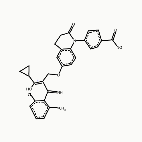 Cc1cccc(Cl)c1C(=N)/C(COc1ccc2c(c1)CCC(=O)N2c1ccc(C(=O)N=O)cc1)=C(\O)C1CC1